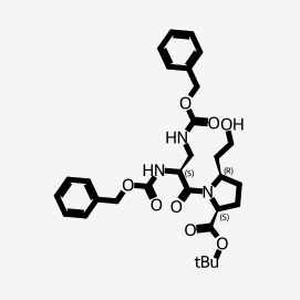 CC(C)(C)OC(=O)[C@@H]1CC[C@H](CCO)N1C(=O)[C@H](CNC(=O)OCc1ccccc1)NC(=O)OCc1ccccc1